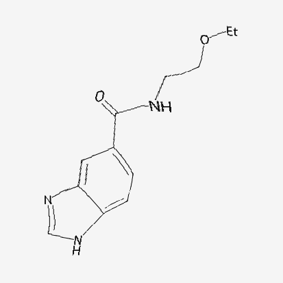 CCOCCNC(=O)c1ccc2[nH]cnc2c1